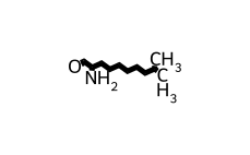 CC(C)CCCCCCC(N)C=O